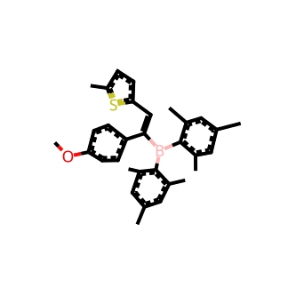 COc1ccc(C(=Cc2ccc(C)s2)B(c2c(C)cc(C)cc2C)c2c(C)cc(C)cc2C)cc1